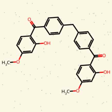 COc1ccc(C(=O)c2ccc(Cc3ccc(C(=O)c4ccc(OC)cc4O)cc3)cc2)c(O)c1